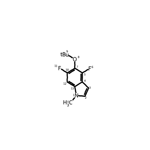 Cn1ccc2c(F)c(OC(C)(C)C)c(F)cc21